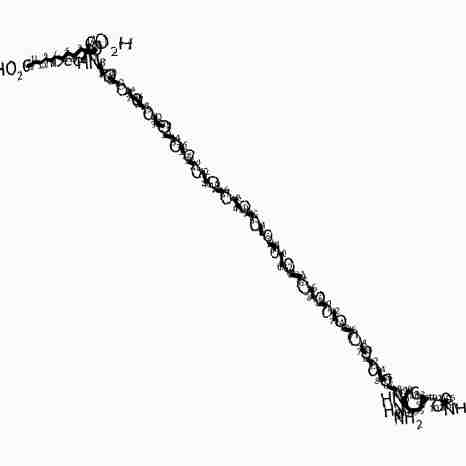 CCCCCCCCCCCC(CCCCCCCCCCC(=O)O)(C(=O)O)C(=O)NCCOCCOCCOCCOCCOCCOCCOCCOCCOCCOCCOCCOCCOCCOCCOCCOCCOCCOCCOCCOCCOCCOCCOCCN/C1=C(\NN)CCC2C(CC1)[C@@H]2COC(N)=O